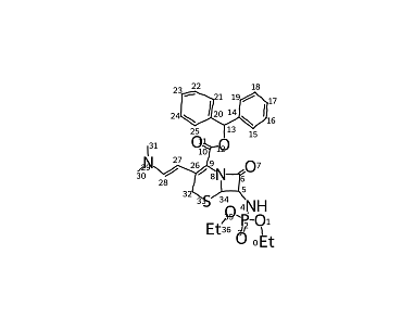 CCOP(=O)(NC1C(=O)N2C(C(=O)OC(c3ccccc3)c3ccccc3)=C(/C=C/N(C)C)CSC12)OCC